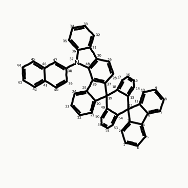 c1ccc2c(c1)-c1ccccc1C21c2ccccc2C2(c3ccccc3-c3c2ccc2c4ccccc4n(-c4ccc5ccccc5c4)c32)c2ccccc21